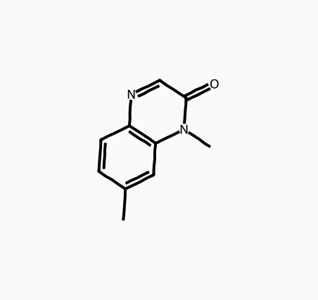 Cc1ccc2ncc(=O)n(C)c2c1